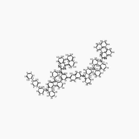 c1ccc(-c2ccc(-c3cccc(-n4c5ccccc5c5c6c7ccccc7n(-c7cccc8c7c7ccc(-c9ccc%10cc(-n%11c%12ccccc%12c%12c%13c%14ccccc%14n(-c%14cccc%15c%14c%14ccccc%14n%15-c%14nc(-c%15cccc%16ccccc%15%16)c%15ccccc%15n%14)c%13ccc%12%11)ccc%10c9)cc7n8-c7nc(-c8cccc9ccccc89)c8ccccc8n7)c6ccc54)c3)cc2)cc1